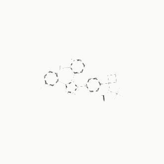 Cc1ccc2c(c1)-c1nnc(-c3ccc(C4(N(C(=O)O)C(C)(C)C)CCC4)cc3)n1-c1cccnc1N2